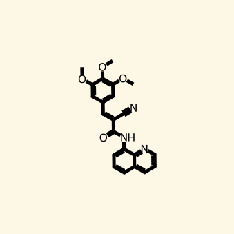 COc1cc(/C=C(\C#N)C(=O)Nc2cccc3cccnc23)cc(OC)c1OC